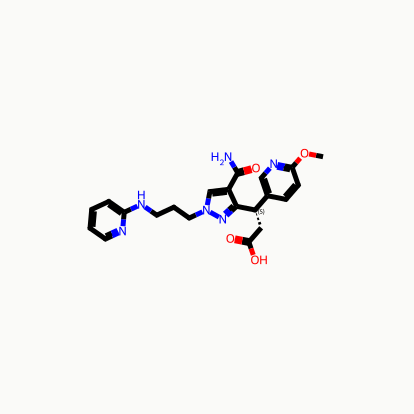 COc1ccc([C@H](CC(=O)O)c2nn(CCCNc3ccccn3)cc2C(N)=O)cn1